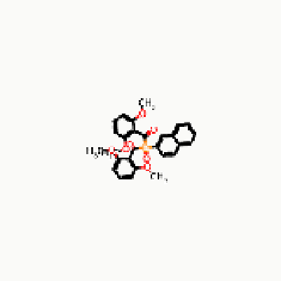 COc1cccc(OC)c1C(=O)P(=O)(C(=O)c1c(OC)cccc1OC)c1ccc2ccccc2c1